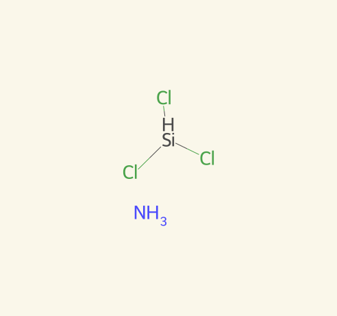 Cl[SiH](Cl)Cl.N